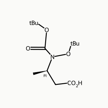 C[C@H](CC(=O)O)N(OC(C)(C)C)C(=O)OC(C)(C)C